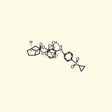 Cc1c(Nc2ccc(S(=O)(=O)C3CC3)cc2)ncnc1O[C@H]1CC2CC[C@@H](C1)N2C(=O)OC(C)C